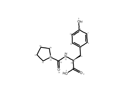 O=C(O)[C@H](Cc1ccc(O)cc1)NC(=O)N1CCCC1